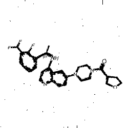 C[C@@H](Nc1ccnc2ccc(N3CCN(C(=O)C4CCOC4)CC3)cc12)c1cccc(C(F)F)c1F